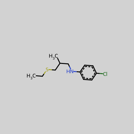 CCSCC(C)CNc1ccc(Cl)cc1